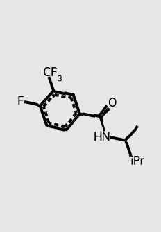 CC(C)C(C)NC(=O)c1ccc(F)c(C(F)(F)F)c1